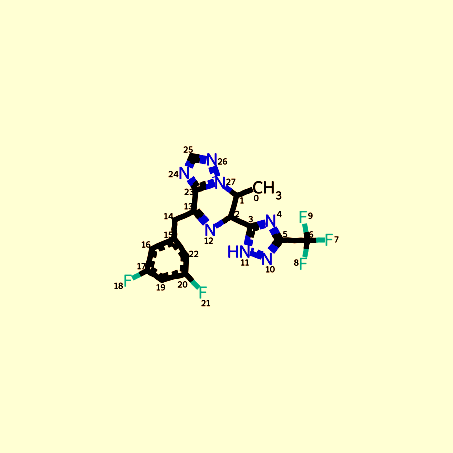 CC1C(c2nc(C(F)(F)F)n[nH]2)N=C(Cc2cc(F)cc(F)c2)c2ncnn21